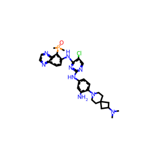 CN(C)C1CC2(CCN(c3ccc(Nc4ncc(Cl)c(Nc5ccc6nccnc6c5P(C)(C)=O)n4)cc3N)CC2)C1